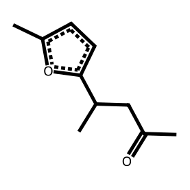 CC(=O)CC(C)c1ccc(C)o1